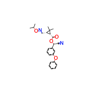 CC(C)ON=C[C@H]1[C@@H](C(=O)OC(C#N)c2cccc(Oc3ccccc3)c2)C1(C)C